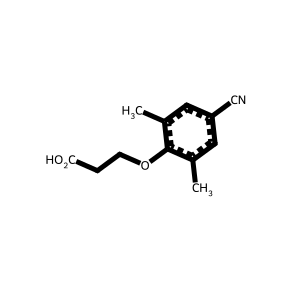 Cc1cc(C#N)cc(C)c1OCCC(=O)O